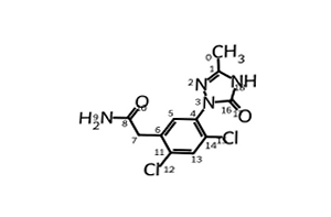 Cc1nn(-c2cc(CC(N)=O)c(Cl)cc2Cl)c(=O)[nH]1